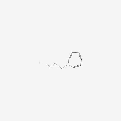 CCCCN1C=CC=CC=C1